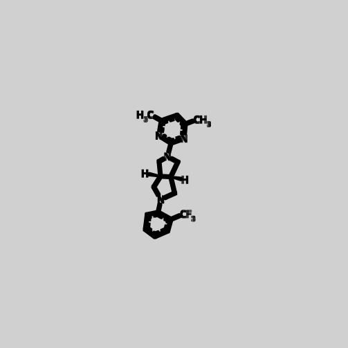 Cc1cc(C)nc(N2C[C@@H]3CN(c4ccccc4C(F)(F)F)C[C@@H]3C2)n1